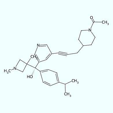 CC(=O)N1CCC(CC#Cc2cncc([C@@](O)(c3ccc(C(C)C)cc3)C3(C)CN(C)C3)c2)CC1